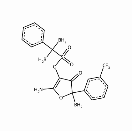 BC1(c2cccc(C(F)(F)F)c2)OC(N)=C(OS(=O)(=O)C(B)(B)c2ccccc2)C1=O